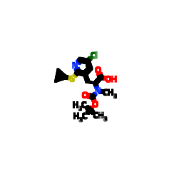 CN(C(=O)OC(C)(C)C)[C@@H](Cc1cc(Cl)cnc1SC1CC1)C(=O)O